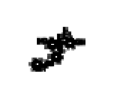 Cc1cc(O)ccc1-c1c(Cl)c2cc(O)ccc2n1Cc1ccc(OCCC2CCCCN2)cc1